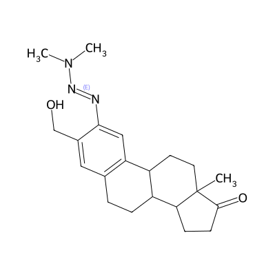 CN(C)/N=N/c1cc2c(cc1CO)CCC1C2CCC2(C)C(=O)CCC12